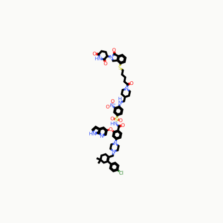 CC1(C)CCC(CN2CCN(c3ccc(C(=O)NS(=O)(=O)c4ccc(NCC5CCN(C(=O)CCCCSc6cccc7c6CN(C6CCC(=O)NC6=O)C7=O)CC5)c([N+](=O)[O-])c4)c(Oc4cnc5[nH]ccc5c4)c3)CC2)=C(c2ccc(Cl)cc2)C1